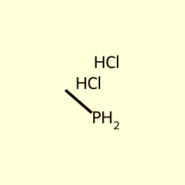 CP.Cl.Cl